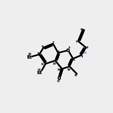 C=C/C=C\c1oc2ccc(CC)c(CC)c2c(=O)c1C